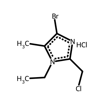 CCn1c(CCl)nc(Br)c1C.Cl